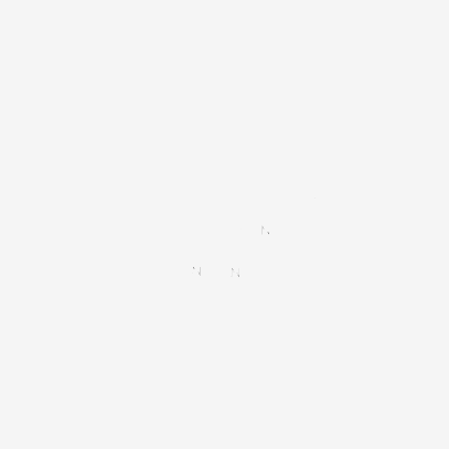 c1ccc(-n2cnc3c(-n4c5ccccc5c5sc6ccccc6c54)cccc32)cc1